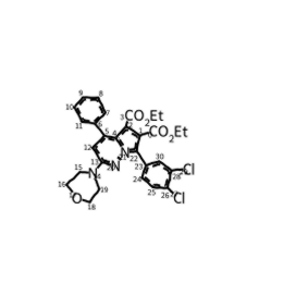 CCOC(=O)c1c(C(=O)OCC)c2c(-c3ccccc3)cc(N3CCOCC3)nn2c1-c1ccc(Cl)c(Cl)c1